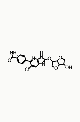 NC(=O)c1ccc(-c2nc3[nH]c(OC4COC5C(O)COC45)nc3cc2Cl)cc1